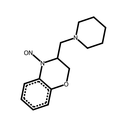 O=NN1c2ccccc2OCC1CN1CCCCC1